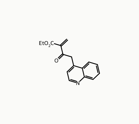 C=C(C(=O)Cc1ccnc2ccccc12)C(=O)OCC